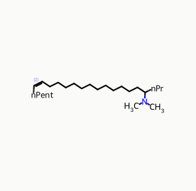 CCCCC/C=C\CCCCCCCCCCCCC(CCC)N(C)C